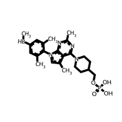 CBc1cc(C)c(-n2cc(C)c3c(N4CCC(COP(=O)(O)O)CC4)nc(C)nc32)c(C)c1